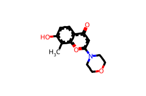 Cc1c(O)ccc2c(=O)cc(N3CCOCC3)oc12